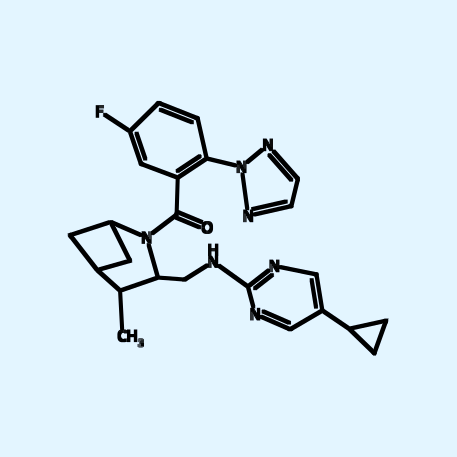 CC1C2CC(C2)N(C(=O)c2cc(F)ccc2-n2nccn2)C1CNc1ncc(C2CC2)cn1